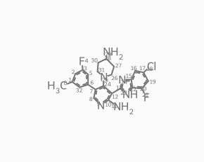 Cc1cc(F)cc(-c2cnc(N)c(-c3nc4cc(Cl)cc(F)c4[nH]3)c2N2CCC(N)CC2)c1